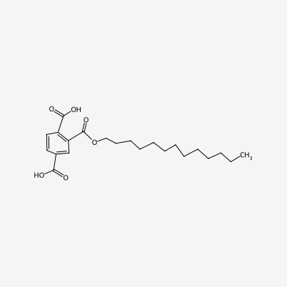 CCCCCCCCCCCCCOC(=O)c1cc(C(=O)O)ccc1C(=O)O